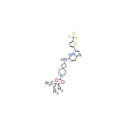 CC(C)(C)OC(=O)N1CCC2(CC1)CC(Nc1ccc3ncc(-c4ccc(C(F)(F)F)s4)n3n1)C2